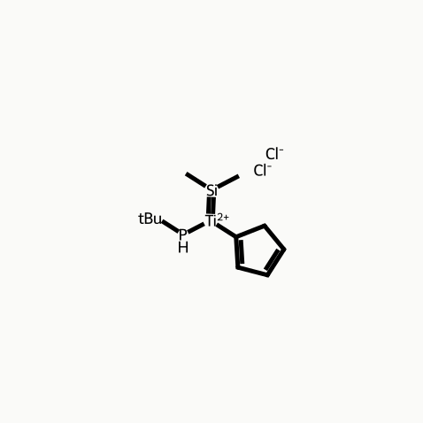 C[Si](C)=[Ti+2]([PH]C(C)(C)C)[C]1=CC=CC1.[Cl-].[Cl-]